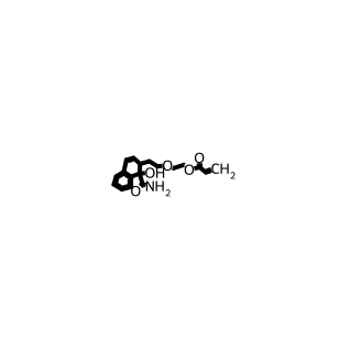 C=CC(=O)OCCOCCC1C=Cc2ccccc2C1(O)C(N)=O